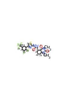 Cn1c(=O)c2c(CC(=O)Nc3nc(-c4cc(C(F)(F)F)cc(F)c4F)cs3)cccc2n(C)c1=O